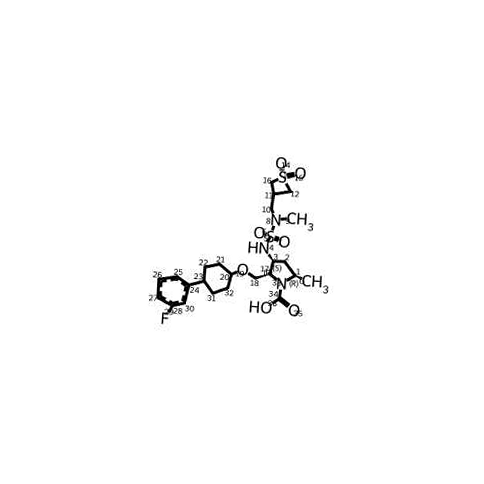 C[C@@H]1C[C@H](NS(=O)(=O)N(C)CC2CS(=O)(=O)C2)[C@H](COC2CCC(c3cccc(F)c3)CC2)N1C(=O)O